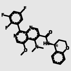 COc1cnc(-c2cc(F)cc(F)c2F)c2ncc(C(=O)N[C@H]3CCOc4ccccc43)c(N(C)C)c12